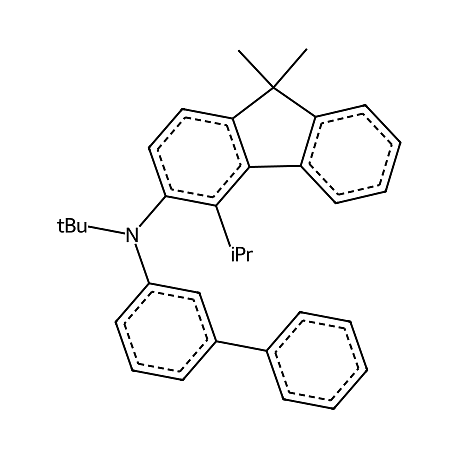 CC(C)c1c(N(c2cccc(-c3ccccc3)c2)C(C)(C)C)ccc2c1-c1ccccc1C2(C)C